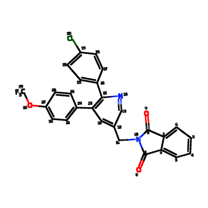 O=C1c2ccccc2C(=O)N1Cc1cnc(-c2ccc(Cl)cc2)c(-c2ccc(OC(F)(F)F)cc2)c1